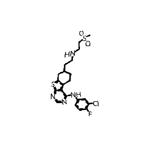 CS(=O)(=O)CCNCCC1CCc2c(sc3ncnc(Nc4ccc(F)c(Cl)c4)c23)C1